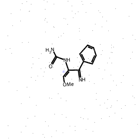 CO/C=C(/NC(N)=O)C(=N)c1ccccc1